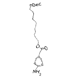 CCCCCCCCCCCCCCCCCCOC(=O)c1ccc(N)cc1